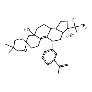 C=C(C)c1cccc([C@H]2C[C@@]3(C)C(CC[C@@]3(O)C(F)(F)C(F)(F)F)C3CCC4(O)CC5(CCC4=C32)OCC(C)(C)CO5)c1